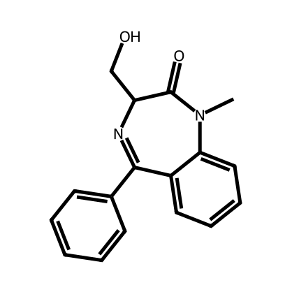 CN1C(=O)C(CO)N=C(c2ccccc2)c2ccccc21